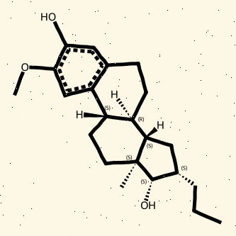 CCC[C@H]1C[C@H]2[C@@H]3CCc4cc(O)c(OC)cc4[C@H]3CC[C@]2(C)[C@H]1O